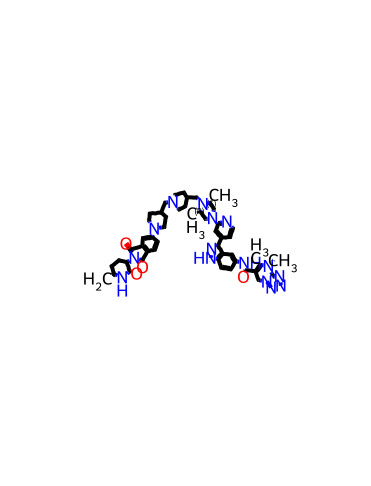 C=C1CCC(N2C(=O)c3ccc(N4CCC(CN5CCC(CN6[C@H](C)CN(c7cc(-c8n[nH]c9ccc(NC(=O)C%10=C(C)N(C)c%11nnnn%11C%10)cc89)ccn7)C[C@@H]6C)CC5)CC4)cc3C2=O)C(=O)N1